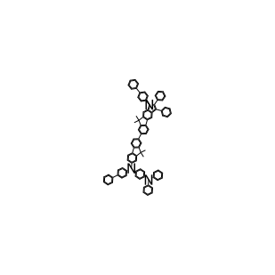 CC1(C)c2cc(-c3ccc4c(c3)C(C)(C)c3cc5c(cc3-4)c(-c3ccccc3)c(-c3ccccc3)n5-c3ccc(-c4ccccc4)cc3)ccc2-c2ccc(N(c3ccc(-c4ccccc4)cc3)c3ccc(N(c4ccccc4)c4ccccc4)cc3)cc21